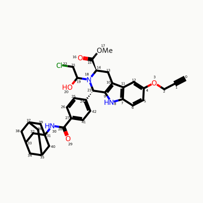 C#CCOc1ccc2[nH]c3c(c2c1)C[C@H](C(=O)OC)N(C(O)CCl)[C@H]3c1ccc(C(=O)NC23CC4CC(CC(C4)C2)C3)cc1